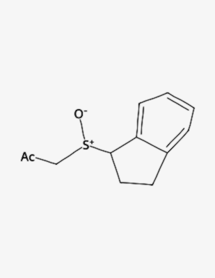 CC(=O)C[S+]([O-])C1CCc2ccccc21